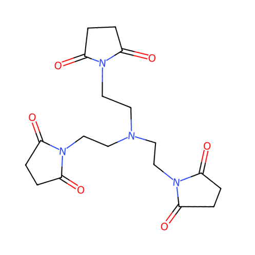 O=C1CCC(=O)N1CCN(CCN1C(=O)CCC1=O)CCN1C(=O)CCC1=O